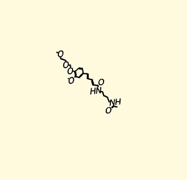 COCCOCOc1ccc(C=CC=CC(=O)NCCCCNC(C)=O)cc1OC